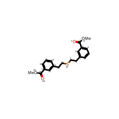 COC(=O)c1cccc(CCSCCc2cccc(C(=O)OC)c2)c1